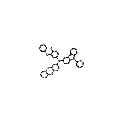 c1ccc(-n2c3ccccc3c3cc(N(c4ccc5c(c4)Oc4ccccc4O5)c4ccc5c(c4)Oc4ccccc4O5)ccc32)cc1